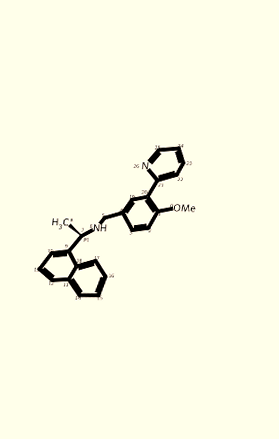 COc1ccc(CN[C@H](C)c2cccc3ccccc23)cc1-c1ccccn1